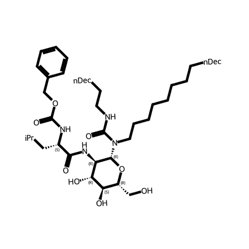 CCCCCCCCCCCCCCCCCCN(C(=O)NCCCCCCCCCCCC)[C@@H]1O[C@H](CO)[C@@H](O)[C@H](O)[C@H]1NC(=O)[C@H](CC(C)C)NC(=O)OCc1ccccc1